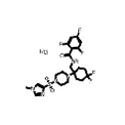 Cl.Cn1cnc(S(=O)(=O)N2CCN(C3(CNC(=O)c4c(F)cc(F)cc4F)CCC(F)(F)CC3)CC2)c1